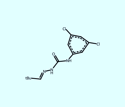 CC(C)(C)/C=N/NC(=O)Nc1cc(Cl)cc(Cl)c1